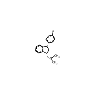 CN(C)C[C@H]1C[C@@H](c2ccc(F)cc2)c2ccccc21